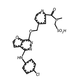 CN(CS(=O)(=O)O)C(=O)c1cc(COc2nnc(Nc3ccc(Cl)cc3)c3ccoc23)ccn1